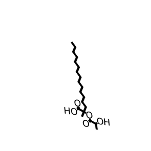 CCCCCCCCCCCCCCC(C)(OC(=O)C(C)O)C(=O)O